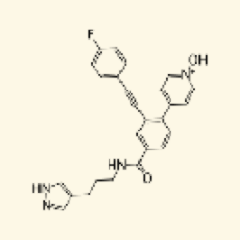 O=C(NCCCc1cn[nH]c1)c1ccc(-c2cc[n+](O)cc2)c(C#Cc2ccc(F)cc2)c1